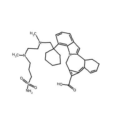 CN(CCCS(N)(=O)=O)CCN(C)CC1(c2cccc3cc4n(c23)CC2=C(C(=O)O)C2=C2C=CCCC24)CCCCC1